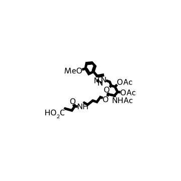 COc1cccc(-c2cn(CC3OC(OCCCCCNC(=O)CCC(=O)O)C(NC(C)=O)C(OC(C)=O)C3OC(C)=O)nn2)c1